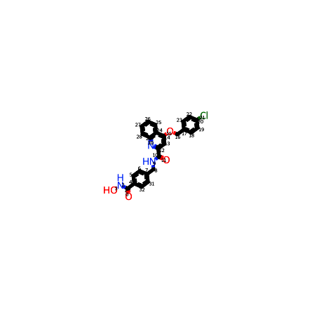 O=C(NO)c1ccc(CNC(=O)c2cc(OCc3ccc(Cl)cc3)c3ccccc3n2)cc1